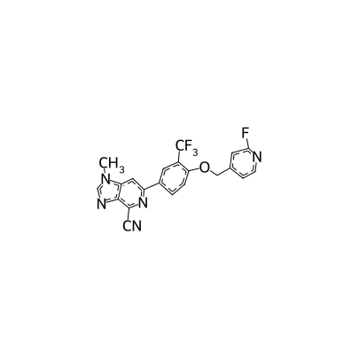 Cn1cnc2c(C#N)nc(-c3ccc(OCc4ccnc(F)c4)c(C(F)(F)F)c3)cc21